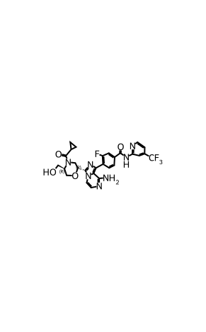 Nc1nccn2c([C@H]3CN(C(=O)C4CC4)[C@H](CO)CO3)nc(-c3ccc(C(=O)Nc4cc(C(F)(F)F)ccn4)cc3F)c12